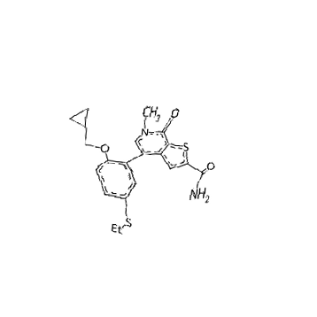 CCSc1ccc(OCC2CC2)c(-c2cn(C)c(=O)c3sc(C(N)=O)cc23)c1